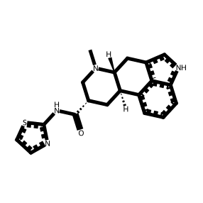 CN1C[C@@H](C(=O)Nc2nccs2)C[C@@H]2c3cccc4[nH]cc(c34)C[C@H]21